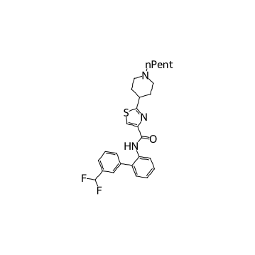 CCCCCN1CCC(c2nc(C(=O)Nc3ccccc3-c3cccc(C(F)F)c3)cs2)CC1